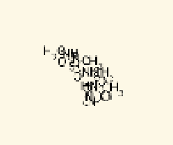 CC[C@@]1(NC(=O)[C@H](C)CNC(=O)c2sc(C(=O)NC)nc2C)C(=O)N2CCCN2Cc2ccccc21